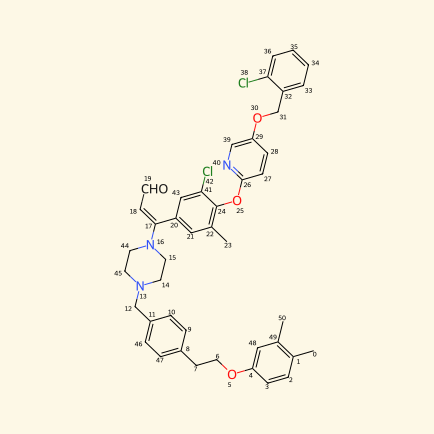 Cc1ccc(OCCc2ccc(CN3CCN(/C(=C/C=O)c4cc(C)c(Oc5ccc(OCc6ccccc6Cl)cn5)c(Cl)c4)CC3)cc2)cc1C